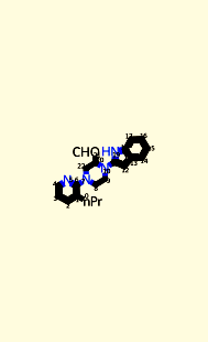 CCCc1cccnc1N1CCN(c2cc3ccccc3[nH]2)C(C=O)C1